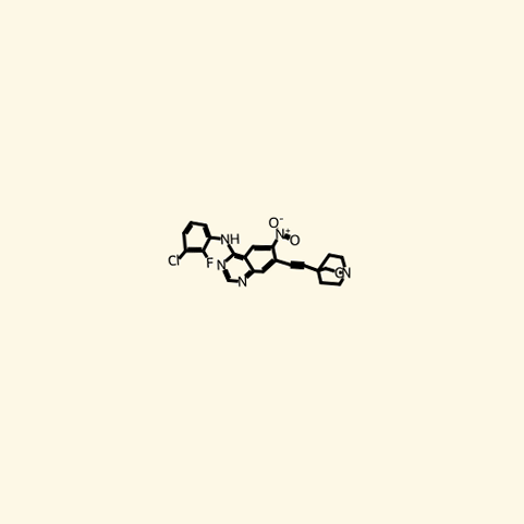 O=[N+]([O-])c1cc2c(Nc3cccc(Cl)c3F)ncnc2cc1C#CC12CCN(CC1)CC2